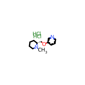 CN1CCCC[C@@H]1COc1cccnc1.Cl.Cl